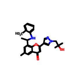 Cc1cc(C(C)Nc2ccccc2C(=O)O)c2oc(-c3cnn(CC(C)(C)O)c3)cc(=O)c2c1